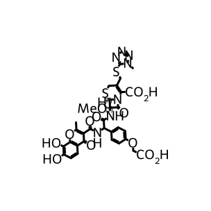 CO[C@@]1(NC(=O)C(NC(=O)c2c(C)oc3c(O)c(O)ccc3c2=O)c2ccc(OCC(=O)O)cc2)C(=O)N2C(C(=O)O)=C(CSc3nnnn3C)CS[C@@H]21